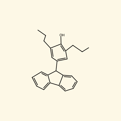 CCCc1cc(C2c3ccccc3-c3ccccc32)cc(CCC)c1O